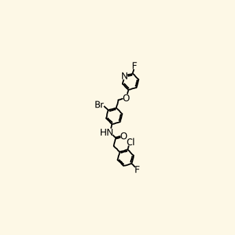 O=C(Cc1ccc(F)cc1Cl)Nc1ccc(COc2ccc(F)nc2)c(Br)c1